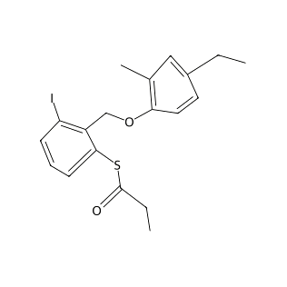 CCC(=O)Sc1cccc(I)c1COc1ccc(CC)cc1C